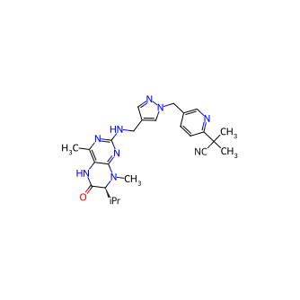 Cc1nc(NCc2cnn(Cc3ccc(C(C)(C)C#N)nc3)c2)nc2c1NC(=O)[C@H](C(C)C)N2C